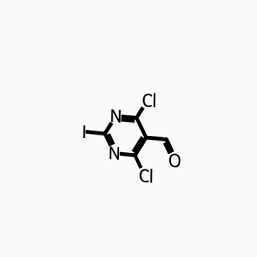 O=Cc1c(Cl)nc(I)nc1Cl